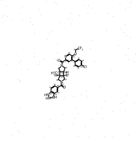 C[C@]12CN(C(=O)c3cc(-c4ccc(Cl)cc4)c(OCC(F)(F)F)cn3)C[C@H]1[C@@H]1CN(C(=O)c3ccc4c(c3)NNN4)C[C@@H]12